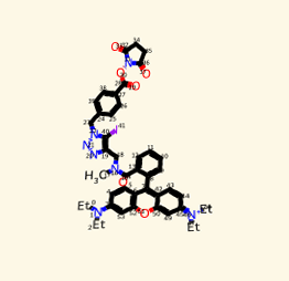 CCN(CC)c1ccc2c(-c3ccccc3C(=O)N(C)Cc3nnn(Cc4ccc(C(=O)ON5C(=O)CCC5=O)cc4)c3I)c3ccc(=[N+](CC)CC)cc-3oc2c1